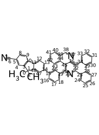 CC1(C)c2cc(C#N)ccc2-c2ccc(-c3cccc(-c4nc5c6ccccc6c6ccccc6c5c5ncc6ccccc6c45)c3)cc21